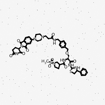 CS(=O)(=O)N1CCC(C(=O)N[C@@H](COCc2ccc(CNC(=O)CCN3CCN(c4ccc5c(c4)C(=O)N(C4CCC(=O)NC4=O)C5=O)CC3)cc2)C(=O)NC2NC(c3ccccc3)CS2)C1